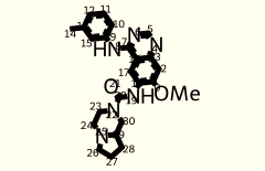 COc1cc2ncnc(Nc3cccc(C)c3)c2cc1NC(=O)N1CCN2CCCC2C1